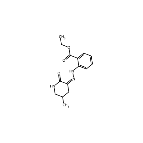 CCOC(=O)c1ccccc1N/N=C1/CC(C)CNC1=O